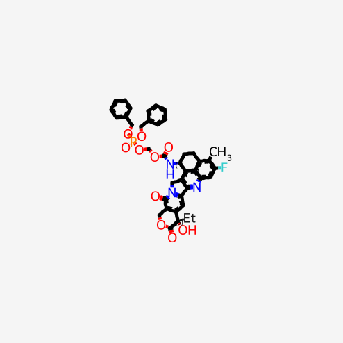 CC[C@@]1(O)C(=O)OCc2c1cc1n(c2=O)Cc2c-1nc1cc(F)c(C)c3c1c2[C@@H](NC(=O)OCOP(=O)(OCc1ccccc1)OCc1ccccc1)CC3